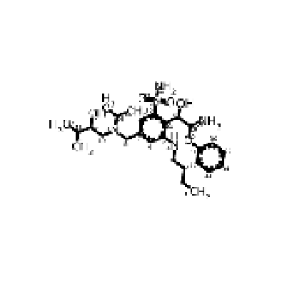 CCCCNc1cc(CN(CC(O)C(C)C)C(C)C)cc(S(N)(=O)=O)c1C(O)C(N)Oc1ccccc1